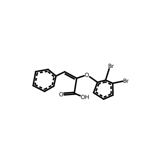 O=C(O)/C(=C\c1ccccc1)Oc1cccc(Br)c1Br